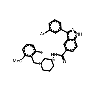 COc1cccc(F)c1CN1CCC[C@@H](NC(=O)c2ccc3[nH]nc(-c4cccc(C(C)=O)c4)c3c2)C1